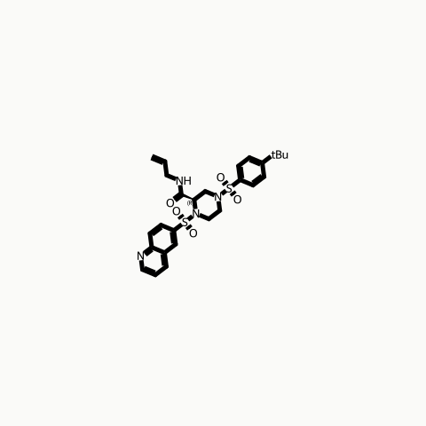 C=CCNC(=O)[C@H]1CN(S(=O)(=O)c2ccc(C(C)(C)C)cc2)CCN1S(=O)(=O)c1ccc2ncccc2c1